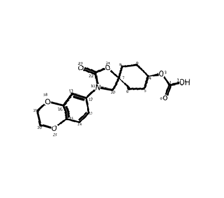 O=C(O)O[C@H]1CC[C@@]2(CC1)CN(c1ccc3c(c1)OCCO3)C(=O)O2